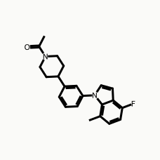 CC(=O)N1CCC(c2cccc(-n3ccc4c(F)ccc(C)c43)c2)CC1